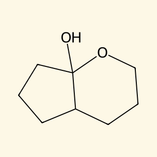 OC12CCCC1CCCO2